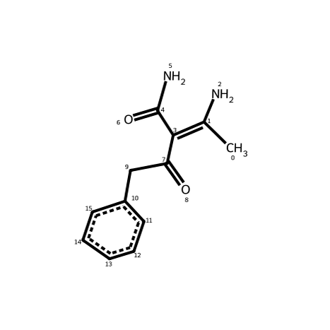 C/C(N)=C(/C(N)=O)C(=O)Cc1ccccc1